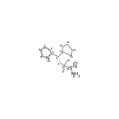 CC(C)(C[C@H](c1ccccn1)C1CCCC1)[S+](N)[O-]